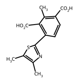 Cc1nc(-c2ccc(C(=O)O)c(C)c2C(=O)O)sc1C